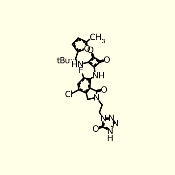 Cc1ccc([C@H](Nc2c(Nc3c(F)cc(Cl)c4c3C(=O)N(CCn3nn[nH]c3=O)C4)c(=O)c2=O)C(C)(C)C)o1